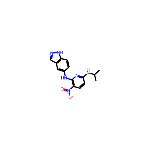 CC(C)Nc1ccc([N+](=O)[O-])c(Nc2ccc3[nH]ncc3c2)n1